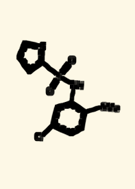 CSc1ccc(Cl)cc1NS(=O)(=O)c1cccs1